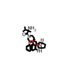 Cc1nc2ccccc2n1C1C[C@H]2CC[C@@H](C1)N2CCC1(c2cccc(F)c2)CCN(C(=O)C(C)(N)C(C)C)CC1